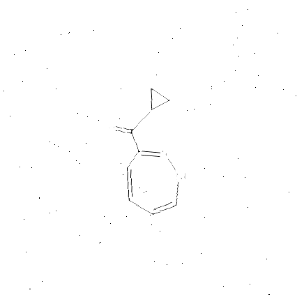 O=C(C1=NNC=CC=C1)C1CC1